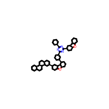 c1ccc(-c2nc(-c3cccc(-c4cccc5oc6ccc(-c7ccc8ccc9c%10ccccc%10ccc9c8c7)cc6c45)c3)nc(-c3ccc4oc5ccccc5c4c3)n2)cc1